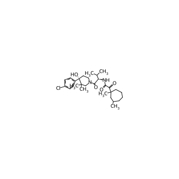 CC1CCCCC(C)(C(=O)C(=O)N[C@@H](C(=O)N2CC[C@](O)(c3ccc(Cl)cc3)C(C)(C)C2)C(C)C)C1